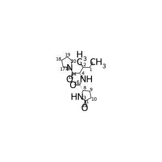 CC[C@H](C)[C@H](NC(=O)[C@@H]1CCC(=O)N1)C(=O)N1CCCC1